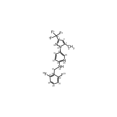 Cc1cc(C(F)(F)F)nn1-c1ccc(NCc2c(F)cccc2F)nc1